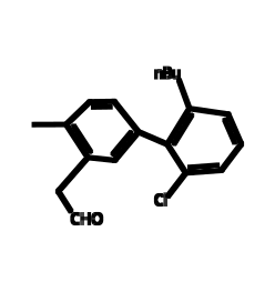 CCCCc1cccc(Cl)c1-c1ccc(C)c(CC=O)c1